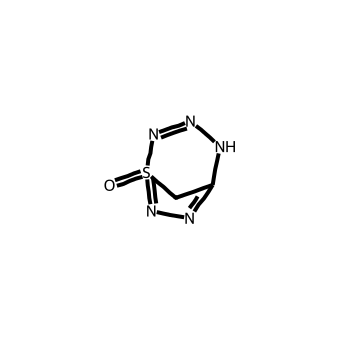 O=S12=NN=C(C1)NN=N2